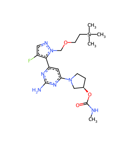 CNC(=O)O[C@@H]1CCN(c2cc(-c3c(F)cnn3COCC[Si](C)(C)C)nc(N)n2)C1